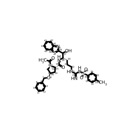 CC(=O)N1C[C@H](OCc2ccccc2)C[C@H]1C(=O)N[C@@H](CCCNC(=N)NS(=O)(=O)c1ccc(C)cc1)C(O)c1nc2ccccc2s1